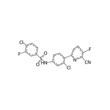 N#Cc1nc(-c2ccc(NS(=O)(=O)c3ccc(Cl)c(F)c3)cc2Cl)ccc1F